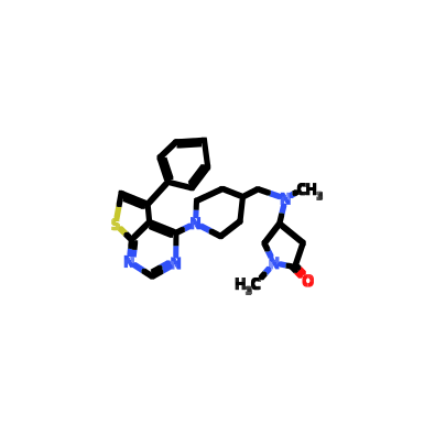 CN1CC(N(C)CC2CCN(c3ncnc4scc(-c5ccccc5)c34)CC2)CC1=O